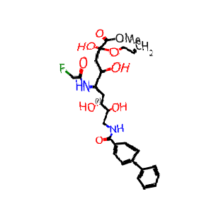 C=CCOC(O)(CC(O)C(C[C@@H](O)C(O)CNC(=O)c1ccc(-c2ccccc2)cc1)NC(=O)CF)C(=O)OC